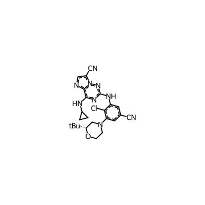 CC(C)(C)[C@@H]1CN(c2cc(C#N)cc(Nc3nc(NC4CC4)c4ncc(C#N)n4n3)c2Cl)CCO1